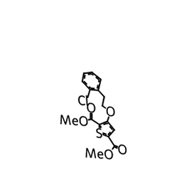 COC(=O)c1cc(OCCc2ccccc2Cl)c(C(=O)OC)s1